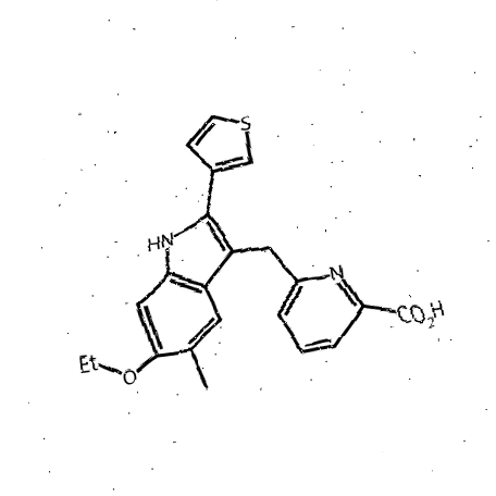 CCOc1cc2[nH]c(-c3ccsc3)c(Cc3cccc(C(=O)O)n3)c2cc1C